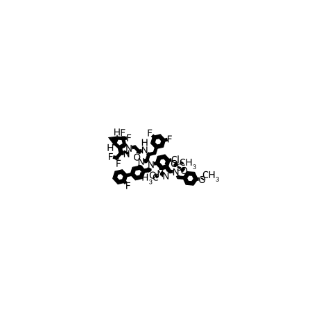 COc1ccc(CN(c2nn(C)c3c(-n4c(C(Cc5cc(F)cc(F)c5)NC(=O)Cn5nc(C(F)F)c6c5C(F)(F)[C@@H]5C[C@H]65)nc5cc(-c6ccccc6F)ccc5c4=O)ccc(Cl)c23)S(C)(=O)=O)cc1